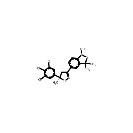 CC1(C)OB(O)c2ccc(C3=NO[C@@](C)(c4cc(Cl)c(Cl)c(Cl)c4)C3)cc21